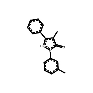 Cc1cccc(-n2[nH]c(-c3ccccc3)c(C)c2=O)c1